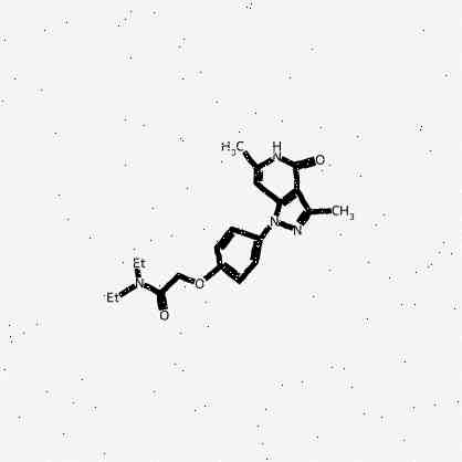 CCN(CC)C(=O)COc1ccc(-n2nc(C)c3c(=O)[nH]c(C)cc32)cc1